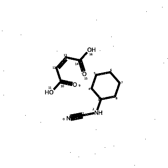 N#CNC1CCCCC1.O=C(O)/C=C\C(=O)O